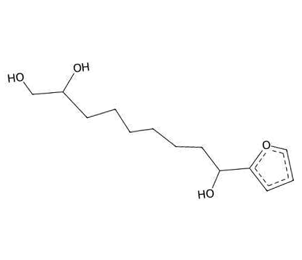 OCC(O)CCCCCCC(O)c1ccco1